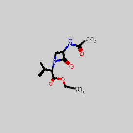 C=C(C)C(C(=O)OCC(Cl)(Cl)Cl)N1CC(NC(=O)C(Cl)(Cl)Cl)C1=O